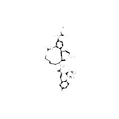 C=C1/C=C(\C=C/N)c2ccc(NC(=O)OC)cc2NC(=O)CC/C=C/C[C@@H]1NC(=O)/C=C/c1cc(Cl)ccc1-n1cnnn1